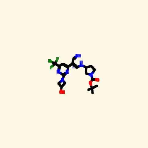 CC(C)(C)OC(=O)N1CCC(N/C=C(\C=N)c2cc(C(F)(F)F)nc(N3CC(O)C3)n2)C1